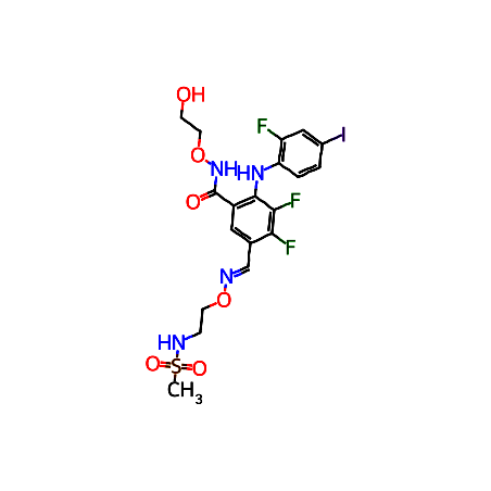 CS(=O)(=O)NCCON=Cc1cc(C(=O)NOCCO)c(Nc2ccc(I)cc2F)c(F)c1F